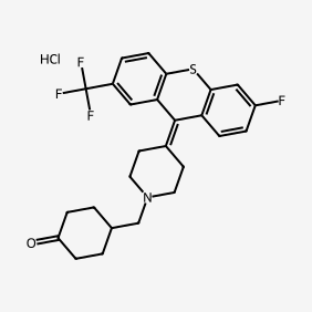 Cl.O=C1CCC(CN2CCC(=C3c4ccc(F)cc4Sc4ccc(C(F)(F)F)cc43)CC2)CC1